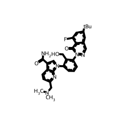 CN(C)Cc1ccc2c(C(N)=O)cn(-c3cccc(-n4ncc5cc(C(C)(C)C)cc(F)c5c4=O)c3CO)c2n1